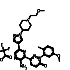 COCCN1CCC(n2cc(-c3cnc(N)c(-c4ccc(=O)n(-c5cc(OC)ccc5C)n4)n3)cn2)CC1.O=C(O)C(F)(F)F